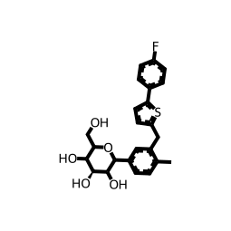 Cc1ccc(C2OC(CO)C(O)[C@H](O)C2O)cc1Cc1ccc(-c2ccc(F)cc2)s1